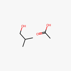 CC(=O)O.CC(C)CO